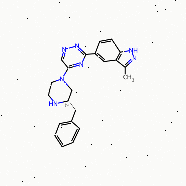 Cc1n[nH]c2ccc(-c3nncc(N4CCN[C@@H](Cc5ccccc5)C4)n3)cc12